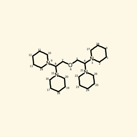 C1CCN(C(COCC(N2CCCCC2)N2CCCCC2)N2CCCCC2)CC1